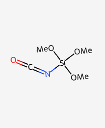 CO[Si](N=C=O)(OC)OC